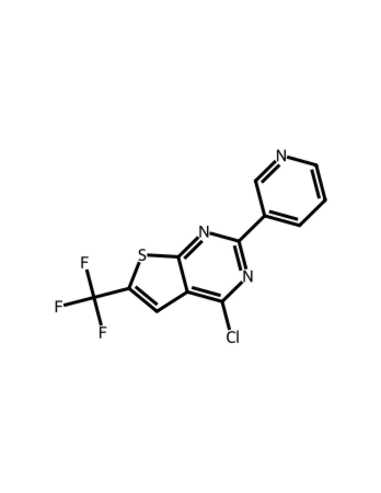 FC(F)(F)c1cc2c(Cl)nc(-c3cccnc3)nc2s1